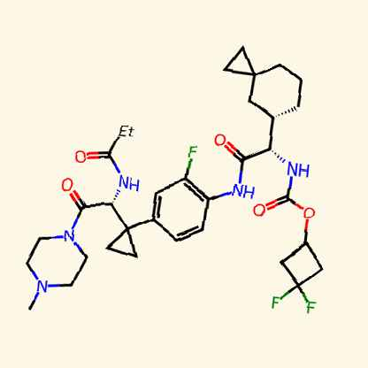 CCC(=O)N[C@@H](C(=O)N1CCN(C)CC1)C1(c2ccc(NC(=O)[C@@H](NC(=O)OC3CC(F)(F)C3)[C@H]3CCCC4(CC4)C3)c(F)c2)CC1